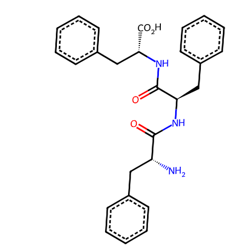 N[C@H](Cc1ccccc1)C(=O)N[C@H](Cc1ccccc1)C(=O)N[C@H](Cc1ccccc1)C(=O)O